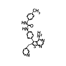 Cc1ccc(NC(=O)Nc2ccc(-c3c(Cc4cccnc4)sc4ncnc(N)c34)cc2)cc1